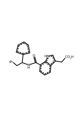 CC(C)CC(NC(=O)c1cccc2c(CC(=O)O)c[nH]c12)c1ccccc1